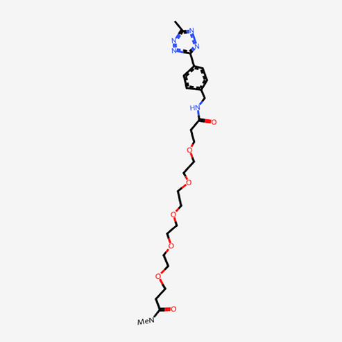 CNC(=O)CCOCCOCCOCCOCCOCCC(=O)NCc1ccc(-c2nnc(C)nn2)cc1